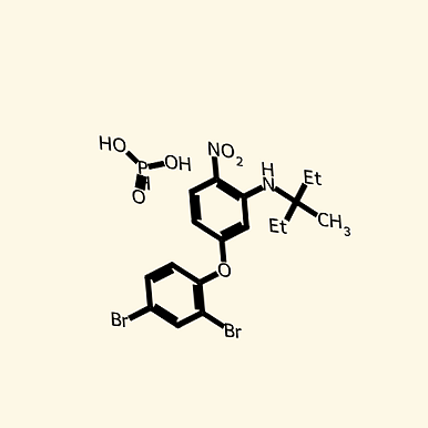 CCC(C)(CC)Nc1cc(Oc2ccc(Br)cc2Br)ccc1[N+](=O)[O-].O=[PH](O)O